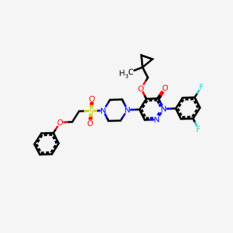 CC1(COc2c(N3CCN(S(=O)(=O)CCOc4ccccc4)CC3)cnn(-c3cc(F)cc(F)c3)c2=O)CC1